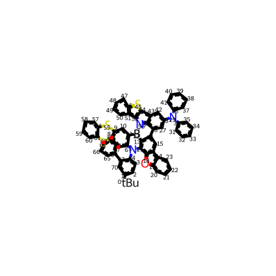 CC(C)(C)c1ccc(N2c3cc4c(cc3B3c5c(cc6c(oc7ccccc76)c52)-c2cc(N(c5ccccc5)c5ccccc5)cc5c6sc7ccccc7c6n3c25)Sc2ccccc2S4)c(-c2ccccc2)c1